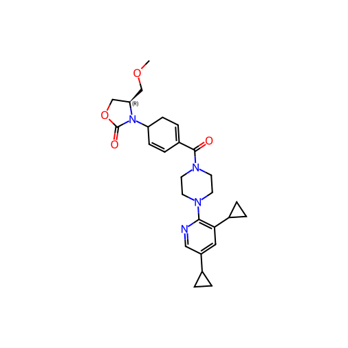 COC[C@@H]1COC(=O)N1C1C=CC(C(=O)N2CCN(c3ncc(C4CC4)cc3C3CC3)CC2)=CC1